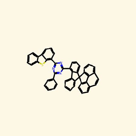 c1ccc(-c2nc(-c3cccc4c3-c3ccccc3C43c4cccc5ccc6cccc3c6c45)nc(-c3cccc4c3sc3ccccc34)n2)cc1